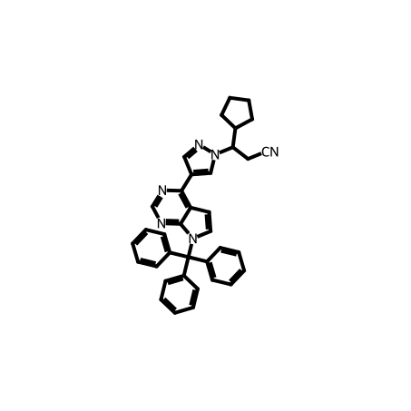 N#CCC(C1CCCC1)n1cc(-c2ncnc3c2ccn3C(c2ccccc2)(c2ccccc2)c2ccccc2)cn1